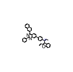 C=Cc1oc2ccccc2c1/C(=C\C)c1ccc(-c2ccc3c(-c4ccc5ccccc5c4)nc(-c4ccccc4)nc3c2)cc1